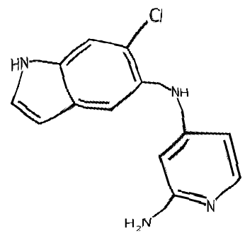 Nc1cc(Nc2cc3cc[nH]c3cc2Cl)ccn1